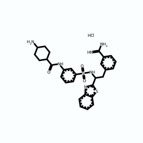 Cl.N=C(N)c1cccc(CC(NS(=O)(=O)c2cccc(NC(=O)C3CCC(N)CC3)c2)c2nc3ccccc3s2)c1